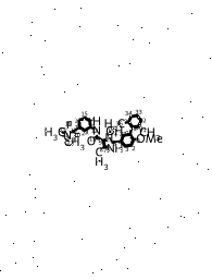 COc1ccc(-c2[nH]c(C)c(C(=O)Nc3cccc(C(F)(F)N(C)C)c3)[n+]2O)cc1-c1c(C)cccc1C